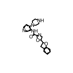 O=C(Nc1cnccc1N1CCNCC1)C1=NCC(C2Cc3ccccc3O2)O1